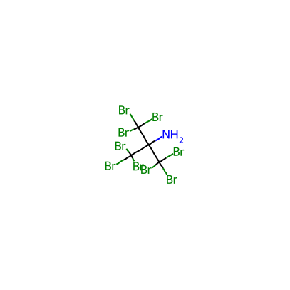 NC(C(Br)(Br)Br)(C(Br)(Br)Br)C(Br)(Br)Br